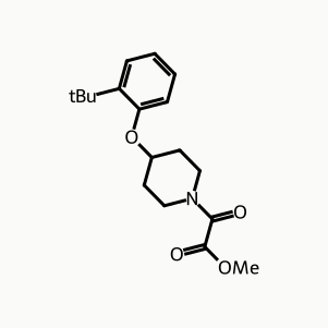 COC(=O)C(=O)N1CCC(Oc2ccccc2C(C)(C)C)CC1